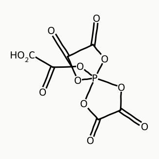 O=C(O)C(=O)OP12(OC(=O)C(=O)O1)OC(=O)C(=O)O2